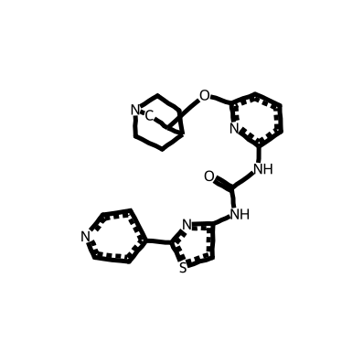 O=C(Nc1cccc(OC2CN3CCC2CC3)n1)Nc1csc(-c2ccncc2)n1